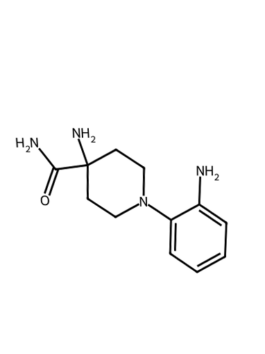 NC(=O)C1(N)CCN(c2ccccc2N)CC1